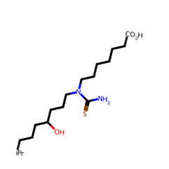 CC(C)CCCC(O)CCCN(CCCCCCC(=O)O)C(N)=S